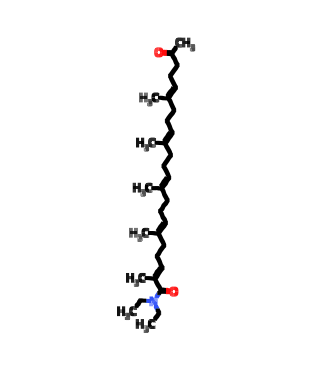 CCN(CC)C(=O)/C(C)=C/CC/C(C)=C/CC/C(C)=C/CC/C(C)=C/CC/C(C)=C/CCC(C)=O